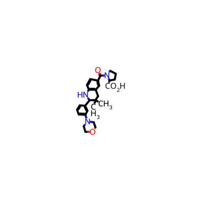 CC1(C)Cc2cc(C(=O)N3CCCC3C(=O)O)ccc2NC1c1cccc(N2CCOCC2)c1